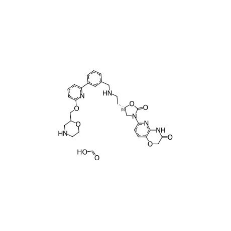 O=C1COc2ccc(N3C[C@H](CCNCc4cccc(-c5cccc(OCC6CNCCO6)n5)c4)OC3=O)nc2N1.O=CO